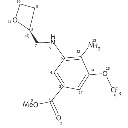 COC(=O)c1cc(NC[C@@H]2CCO2)c(N)c(OC(F)(F)F)c1